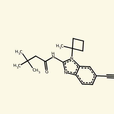 CC(C)(C)CC(=O)Nc1nc2ccc(C#N)cc2n1C1(C)CCC1